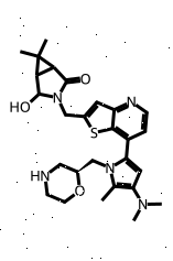 Cc1c(N(C)C)cc(-c2ccnc3cc(CN4C(=O)C5C(C4O)C5(C)C)sc23)n1C[C@@H]1CNCCO1